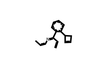 C=C/C(=N\C=C/C)c1ccccc1C1C=CC1